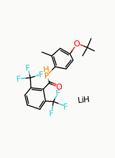 Cc1cc(OC(C)(C)C)ccc1PC(=O)c1c(C(F)(F)F)cccc1C(F)(F)F.[LiH]